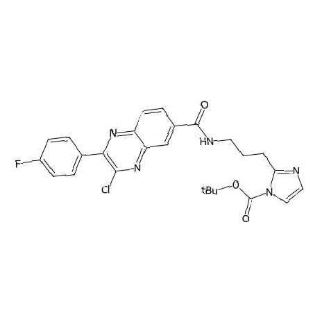 CC(C)(C)OC(=O)n1ccnc1CCCNC(=O)c1ccc2nc(-c3ccc(F)cc3)c(Cl)nc2c1